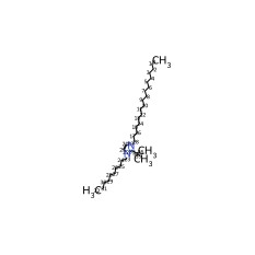 CCCCCCCCCCCCCCCCCCCN1C=CN(CCCCCCCCCC)C1C(C)C